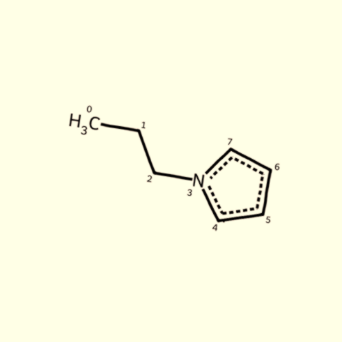 CCCn1[c]ccc1